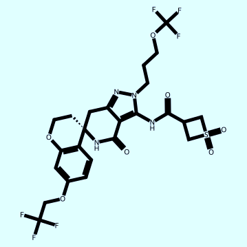 O=C1N[C@]2(CCOc3cc(OCC(F)(F)F)ccc32)Cc2nn(CCCOC(F)(F)F)c(NC(=O)C3CS(=O)(=O)C3)c21